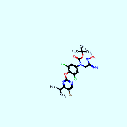 CC(C)c1nc(Oc2c(Cl)cc(N(CC(=N)NO)C(=O)OC(C)(C)C)cc2Cl)ncc1Br